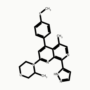 CSc1ccc(-c2cc(N3CCOCC3C)nc3c(-c4ccn[nH]4)ncc(C)c23)cc1